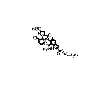 CCOC(=O)CSC(=O)n1cc2cc(C)c(NC(=O)C3CC(OO)=NN3c3ncccc3Cl)c(C(=O)NC(C)C)c2n1